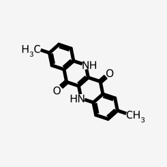 Cc1ccc2[nH]c3c(=O)c4cc(C)ccc4[nH]c3c(=O)c2c1